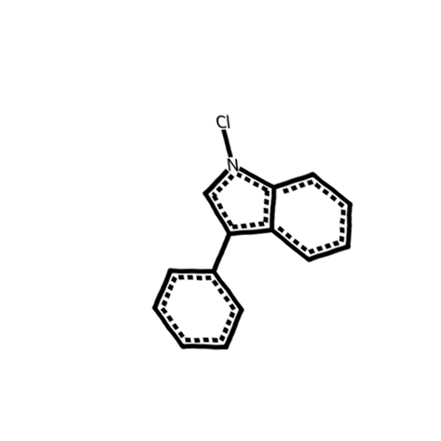 Cln1cc(-c2ccccc2)c2ccccc21